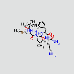 CSCC[C@H](NC(=O)C(C)(C)C)C(=O)N[C@@H](CC(C)C)C(=O)N[C@@H](Cc1ccccc1)C(=O)N[C@@H](CCCCN)C(N)=O